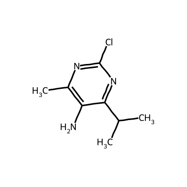 Cc1nc(Cl)nc(C(C)C)c1N